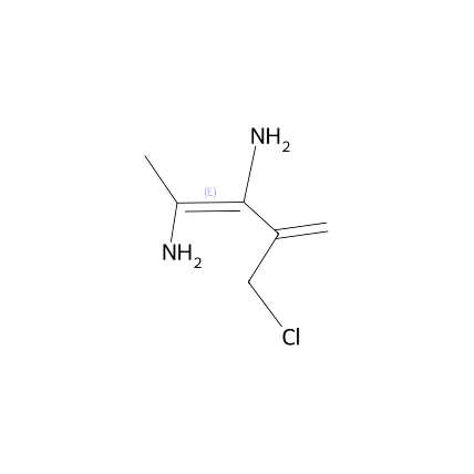 C=C(CCl)/C(N)=C(/C)N